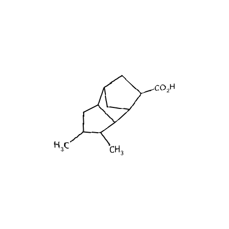 CC1CC2C3CC(C(=O)O)C(C3)C2C1C